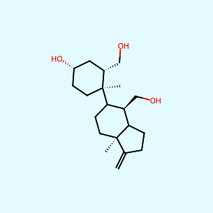 C=C1CCC2[C@H](CO)C([C@@]3(C)CC[C@H](O)C[C@@H]3CO)CC[C@]12C